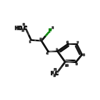 O=C(O)CC(F)Cc1ccccc1C(F)(F)F